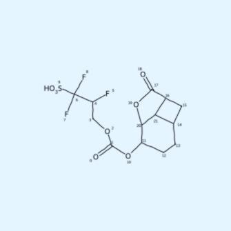 O=C(OCC(F)C(F)(F)S(=O)(=O)O)OC1CCC2CC3C(=O)OC1C23